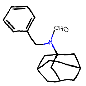 O=CN(Cc1ccccc1)C12CC3CC(CC(C3)C1)C2